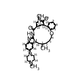 C[C@@H]1CCCOc2ccccc2-c2cc(cn(C)c2=O)C(=O)Nc2nc3ccc(N4CCN(C)CC4)cc3n2C1